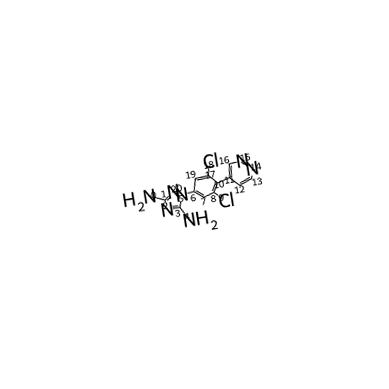 Nc1nc(N)n(-c2cc(Cl)c(-c3ccnnc3)c(Cl)c2)n1